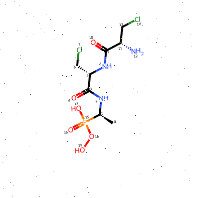 C[C@H](NC(=O)[C@H](CCl)NC(=O)[C@@H](N)CCl)P(=O)(O)OO